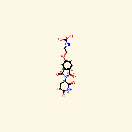 O=C(O)NCCOc1ccc2c(c1)C(=O)N(C1CCC(=O)NC1=O)C2=O